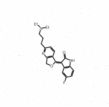 CCN(CC)CCCc1ccc2c(n1)COC2=C1C(=O)Nc2ccc(F)cc21